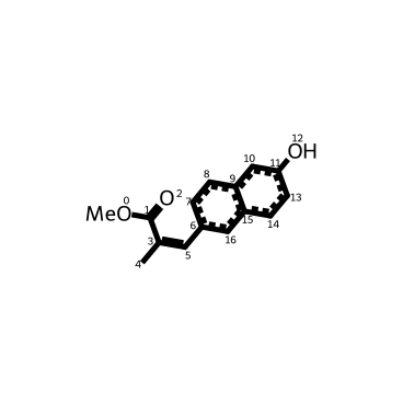 COC(=O)C(C)=Cc1ccc2cc(O)ccc2c1